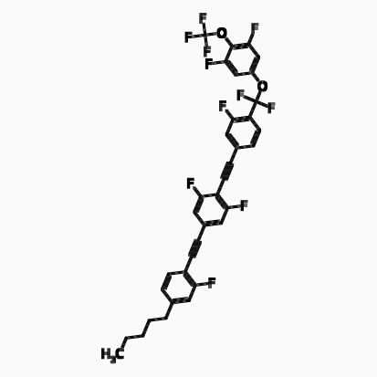 CCCCCc1ccc(C#Cc2cc(F)c(C#Cc3ccc(C(F)(F)Oc4cc(F)c(OC(F)(F)F)c(F)c4)c(F)c3)c(F)c2)c(F)c1